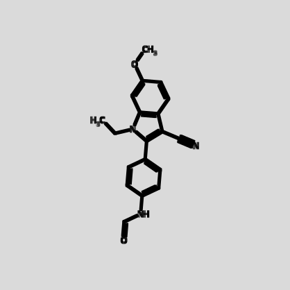 CCn1c(-c2ccc(NC=O)cc2)c(C#N)c2ccc(OC)cc21